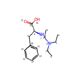 CCN(CC)CC.N[C@@H](Cc1ccccc1)C(=O)O